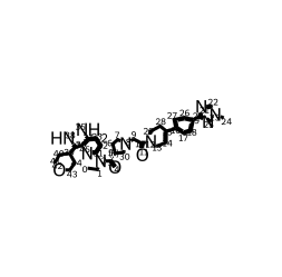 CCN(C(=O)[C@@H]1CCN(CC(=O)N2CC=C(c3ccc(-c4ncn(C)n4)cc3)CC2)C1)c1ccc(N)c(C(=N)C2CCOCC2)n1